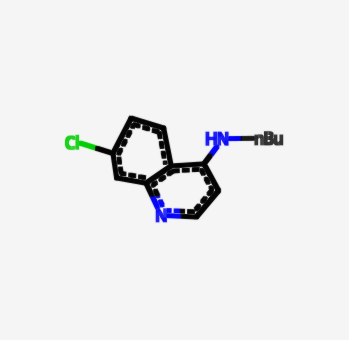 CCCCNc1ccnc2cc(Cl)ccc12